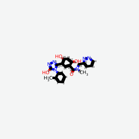 Cc1ccccc1-n1c(O)nnc1-c1cc(C(=O)N(C)Cc2cccnn2)c(O)cc1O